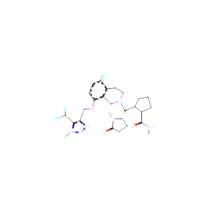 CNC(=O)C1CCCC1C(=O)N1CCc2c(Cl)ccc(OCc3nnn(C)c3C(F)F)c2[C@H]1CN1CCCC1=O